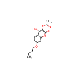 CCCCOc1ccc2c(O)c(OC(C)=O)c(=O)oc2c1